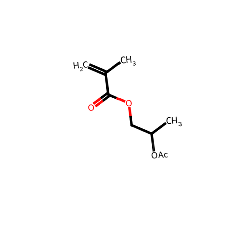 C=C(C)C(=O)OCC(C)OC(C)=O